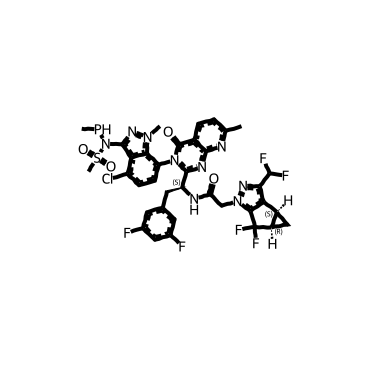 CPN(c1nn(C)c2c(-n3c([C@H](Cc4cc(F)cc(F)c4)NC(=O)Cn4nc(C(F)F)c5c4C(F)(F)[C@@H]4C[C@H]54)nc4nc(C)ccc4c3=O)ccc(Cl)c12)S(C)(=O)=O